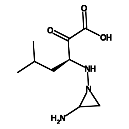 CC(C)C[C@H](NN1CC1N)C(=O)C(=O)O